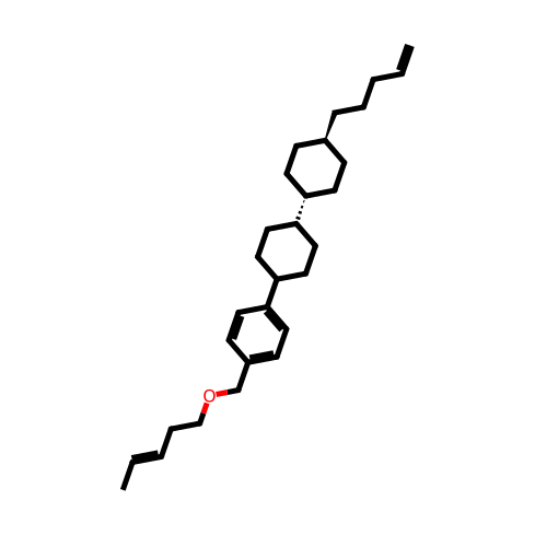 C=CCCC[C@H]1CC[C@H](C2CCC(c3ccc(COCCC=CC)cc3)CC2)CC1